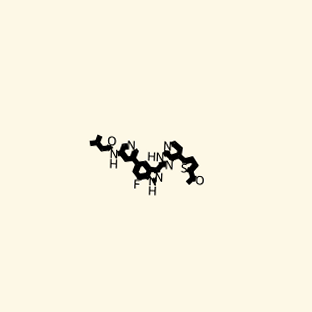 CC(=O)c1ccc(-c2ccnc3[nH]c(-c4n[nH]c5c(F)cc(-c6cncc(NC(=O)CC(C)C)c6)cc45)nc23)s1